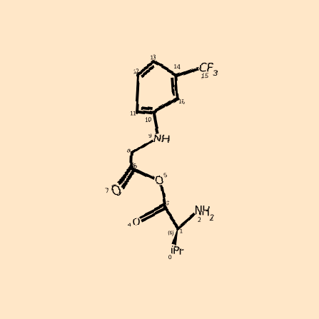 CC(C)[C@H](N)C(=O)OC(=O)CNc1cccc(C(F)(F)F)c1